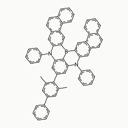 Cc1cc(-c2ccccc2)cc(C)c1-c1cc2c3c(c1)N(c1ccccc1)c1cc4ccc5ccccc5c4cc1B3c1cc3c(ccc4ccccc43)cc1N2c1ccccc1